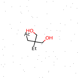 CCC(CO)(CO)CC(C)=O